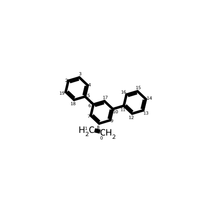 C=C.c1ccc(-c2cccc(-c3ccccc3)c2)cc1